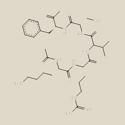 CC(=O)N[C@@H](CCCCN)C(=O)N[C@@H](CCCNC(=N)N)C(=O)NC(C(=O)N[C@@H](CO)C(=O)N[C@@H](Cc1ccccc1)C(C)=O)C(C)C